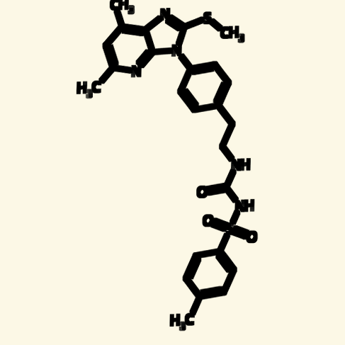 CSc1nc2c(C)cc(C)nc2n1-c1ccc(CCNC(=O)NS(=O)(=O)c2ccc(C)cc2)cc1